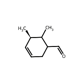 CC1C(C=O)CC=C[C@H]1C